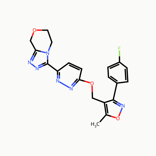 Cc1onc(-c2ccc(F)cc2)c1COc1ccc(-c2nnc3n2CCOC3)nn1